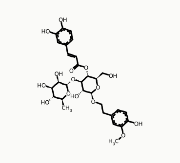 COc1cc(CCO[C@@H]2O[C@H](CO)[C@@H](OC(=O)/C=C/c3ccc(O)c(O)c3)[C@H](O[C@@H]3O[C@@H](C)[C@H](O)[C@@H](O)[C@H]3O)[C@H]2O)ccc1O